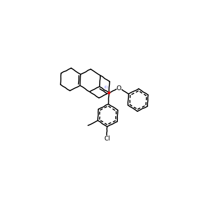 Cc1cc(/C(Oc2ccccc2)=C2/C3CCCC2C2=C(CCCC2)C3)ccc1Cl